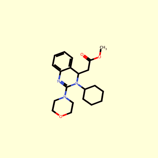 COC(=O)CC1c2ccccc2N=C(N2CCOCC2)N1C1CCCCC1